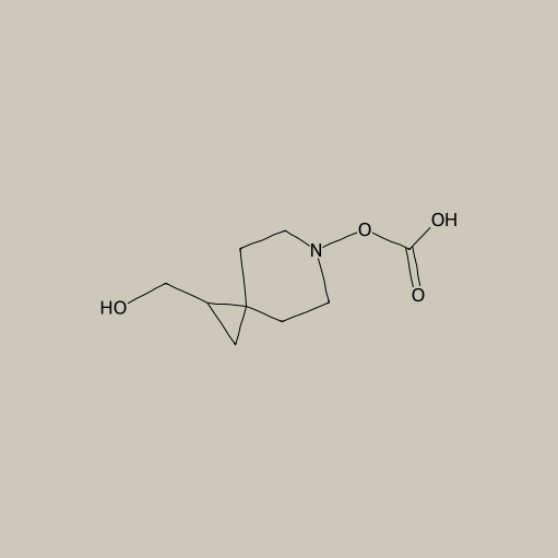 O=C(O)ON1CCC2(CC1)CC2CO